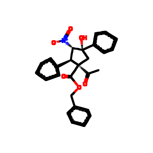 CC(=O)[C@@]1(C(=O)OCc2ccccc2)C[C@](O)(c2ccccc2)[C@@H]([N+](=O)[O-])[C@@H]1c1ccccc1